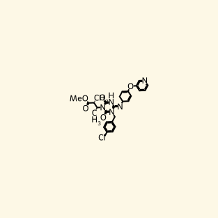 COC(=O)[C@H](C)[C@H](C)n1c(=O)[nH]/c(=N\C2C=CC(Oc3cccnc3)=CC2)n(Cc2ccc(Cl)cc2)c1=O